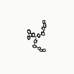 c1cc(-c2ccc(N(c3ccc(-c4cccc(-c5ccc6c(ccc7ccccc76)c5)c4)cc3)c3ccc4c5ccccc5c5ccccc5c4c3)cc2)cc(-c2ccc3c(ccc4ccccc43)c2)c1